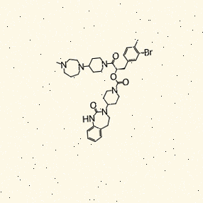 Cc1ccc(C[C@@H](OC(=O)N2CCC(N3CCc4ccccc4NC3=O)CC2)C(=O)N2CCC(N3CCCN(C)CC3)CC2)cc1Br